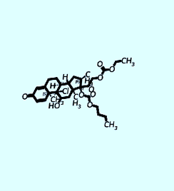 CCCCOC(=O)O[C@]1(C(=O)COC(=O)OCC)[C@H](C)C[C@H]2[C@@H]3CCC4=CC(=O)C=C[C@]4(C)[C@@]3(Cl)C(O)C[C@@]21C